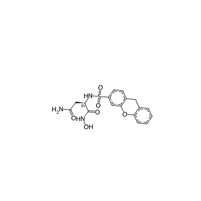 NC(=O)C[C@@H](NS(=O)(=O)c1ccc2c(c1)Oc1ccccc1C2)C(=O)NO